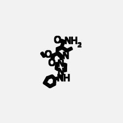 CCOC(=O)c1cc(C(N)=O)c(C)nc1N1CCN(NC2CCCCC2)CC1